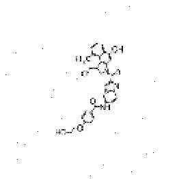 Cc1cccc2c(O)cc3c(c12)[C@H](CCl)CN3C(=O)c1cn2cc(NC(=O)c3ccc(OCCO)cc3)ccc2n1